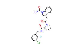 NC(=O)n1cc(CC(=O)N2CCC[C@H]2C(=O)NCc2cccc(Cl)c2F)c2ccccc21